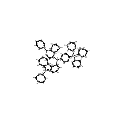 c1ccc(-c2ccc(N(c3ccc([Si](c4ccccc4)(c4ccccc4)c4ccccc4)cc3)c3cccc4c3c3ccccc3n4-c3ccccc3)c3ccccc23)cc1